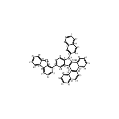 c1ccc2cc(-n3c4ccc(-c5cccc6c5oc5ccccc56)cc4c4c5c6ccccc6ccc5c5ccccc5c43)ccc2c1